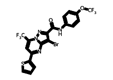 O=C(Nc1ccc(OC(F)(F)F)cc1)c1nn2c(C(F)(F)F)cc(-c3cccs3)nc2c1Br